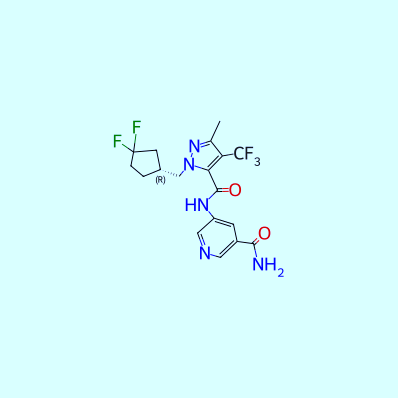 Cc1nn(C[C@@H]2CCC(F)(F)C2)c(C(=O)Nc2cncc(C(N)=O)c2)c1C(F)(F)F